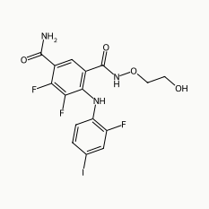 NC(=O)c1cc(C(=O)NOCCO)c(Nc2ccc(I)cc2F)c(F)c1F